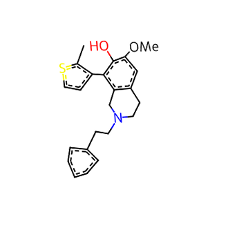 COc1cc2c(c(-c3ccsc3C)c1O)CN(CCc1ccccc1)CC2